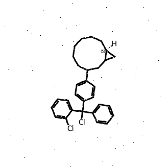 Clc1ccccc1C(Cl)(c1ccccc1)c1ccc(C2CCCCCC[C@H]3CC3C2)cc1